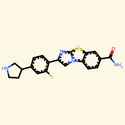 NC(=O)c1ccc2c(c1)sc1nc(-c3ccc(C4CCNC4)cc3F)cn12